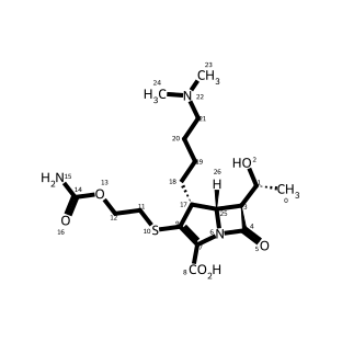 C[C@@H](O)[C@H]1C(=O)N2C(C(=O)O)=C(SCCOC(N)=O)[C@H](CCCCN(C)C)[C@H]12